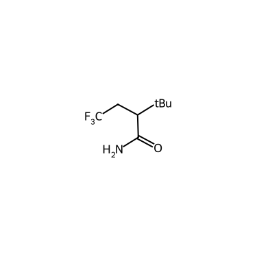 CC(C)(C)C(CC(F)(F)F)C(N)=O